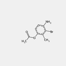 CC(=O)Oc1ccc(N)c(Br)c1C